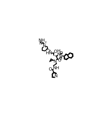 NN=CN1CCC[C@@H](CNC(=O)C[C@H](NS(=O)(=O)c2ccc3ccccc3c2)C(=O)N(CCNC(=O)c2cccnc2)C2CC2)C1